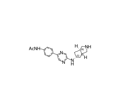 CC(=O)Nc1ccc(-c2cnc(N[C@@H]3C[C@H]4CNC[C@H]4C3)cn2)cc1